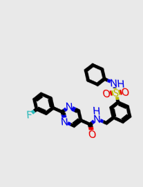 O=C(NCc1cccc(S(=O)(=O)NC2CCCCC2)c1)c1cnc(-c2cccc(F)c2)nc1